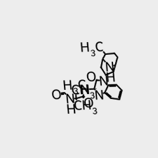 CC1CCC2CC(n3c(=O)c(N(C)C(=O)C(C)(C)NC=O)nc4ccccc43)CC1N2